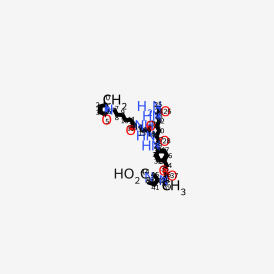 C=C1C=CC(=O)N1CCCCCC(=O)NCC(=O)NC(CCCNC(N)=O)C(=O)Nc1ccc(COC(=O)N(C)C2CCN(C(=O)O)C2)cc1